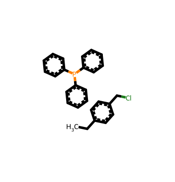 CCc1ccc(CCl)cc1.c1ccc(P(c2ccccc2)c2ccccc2)cc1